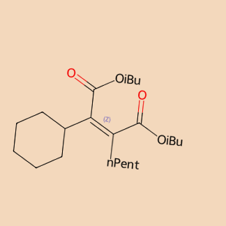 CCCCC/C(C(=O)OCC(C)C)=C(/C(=O)OCC(C)C)C1CCCCC1